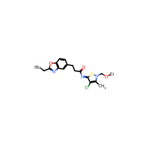 CCOCn1sc(=NC(=O)CCc2ccc3oc(CC(C)(C)C)nc3c2)c(Cl)c1C